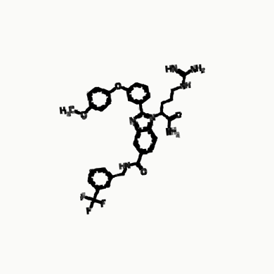 COc1ccc(Oc2cccc(-c3nc4cc(C(=O)NCc5cccc(C(F)(F)F)c5)ccc4n3C(CCCNC(=N)N)C(N)=O)c2)cc1